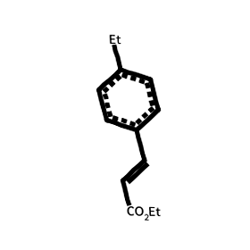 CCOC(=O)C=Cc1ccc(CC)cc1